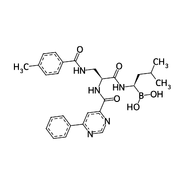 Cc1ccc(C(=O)NC[C@H](NC(=O)c2cc(-c3ccccc3)ncn2)C(=O)N[C@@H](CC(C)C)B(O)O)cc1